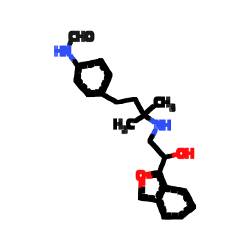 CC(C)(CCc1ccc(NC=O)cc1)NCC(O)c1occ2ccccc12